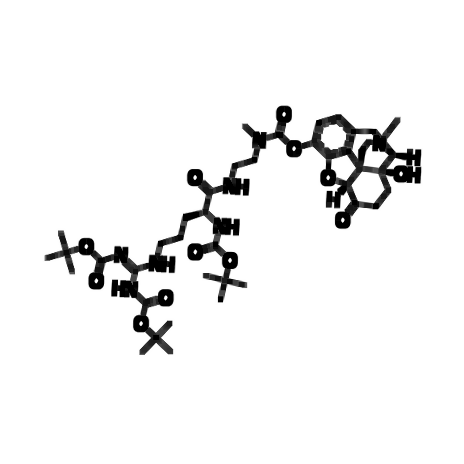 CN(CCNC(=O)[C@H](CCCNC(=NC(=O)OC(C)(C)C)NC(=O)OC(C)(C)C)NC(=O)OC(C)(C)C)C(=O)Oc1ccc2c3c1O[C@H]1C(=O)CC[C@@]4(O)[C@@H](C2)N(C)CC[C@]314